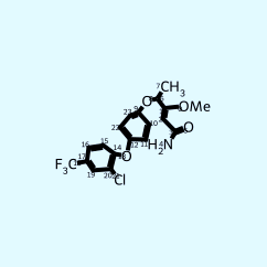 COC(=CC(N)=O)C(C)Oc1ccc(Oc2ccc(C(F)(F)F)cc2Cl)cc1